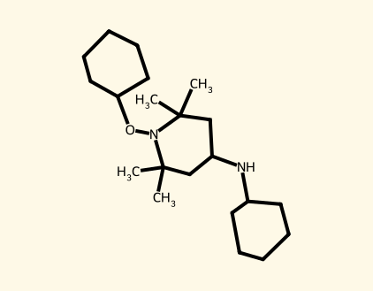 CC1(C)CC(NC2CCCCC2)CC(C)(C)N1OC1CCCCC1